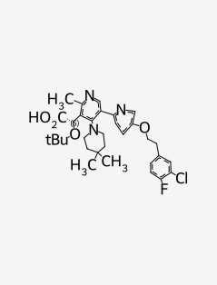 Cc1ncc(-c2ccc(OCCc3ccc(F)c(Cl)c3)cn2)c(N2CCC(C)(C)CC2)c1[C@H](OC(C)(C)C)C(=O)O